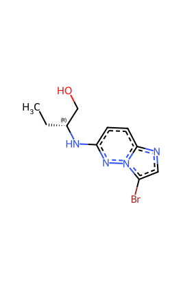 CC[C@H](CO)Nc1ccc2ncc(Br)n2n1